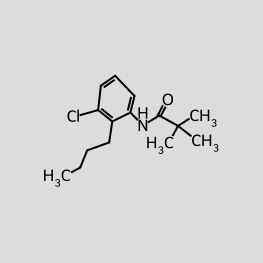 CCCCc1c(Cl)cccc1NC(=O)C(C)(C)C